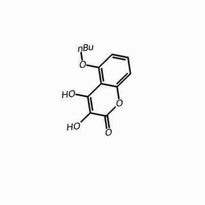 CCCCOc1cccc2oc(=O)c(O)c(O)c12